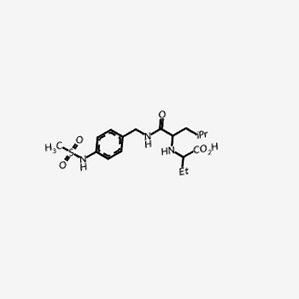 CCC(NC(CC(C)C)C(=O)NCc1ccc(NS(C)(=O)=O)cc1)C(=O)O